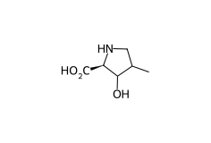 CC1CN[C@H](C(=O)O)C1O